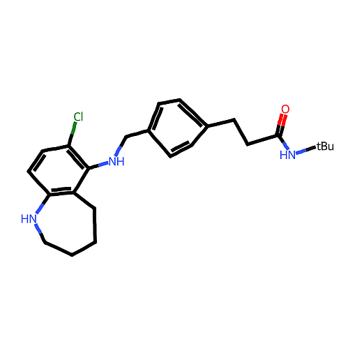 CC(C)(C)NC(=O)CCc1ccc(CNc2c(Cl)ccc3c2CCCCN3)cc1